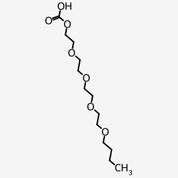 CCCCOCCOCCOCCOCCOC(=O)O